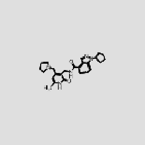 Cc1cc(CN2CCCC2)c(CNC(=O)c2cccc3c2cnn3C2CCCC2)c(=O)[nH]1